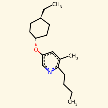 CCCCc1ncc(O[C@H]2CC[C@H](CC)CC2)cc1C